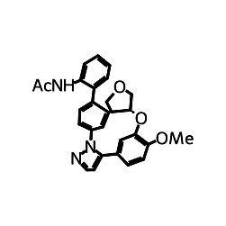 COc1ccc(-c2ccnn2-c2ccc(-c3ccccc3NC(C)=O)cc2)cc1O[C@@H]1CCOC1